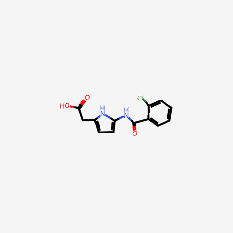 O=C(O)Cc1ccc(NC(=O)c2ccccc2Cl)[nH]1